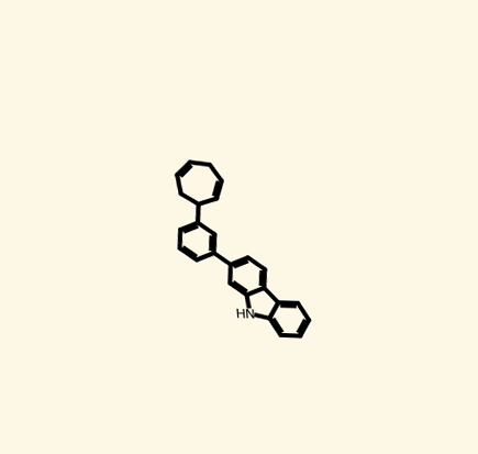 C1=CCC(c2cccc(-c3ccc4c(c3)[nH]c3ccccc34)c2)C=CC1